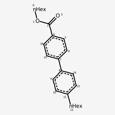 CCCCCCOC(=O)c1ccc(-c2ccc(CCCCCC)cc2)cc1